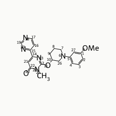 COc1cccc(N2CCCC(Oc3nc(-c4ccncn4)cc(=O)n3C)C2)c1